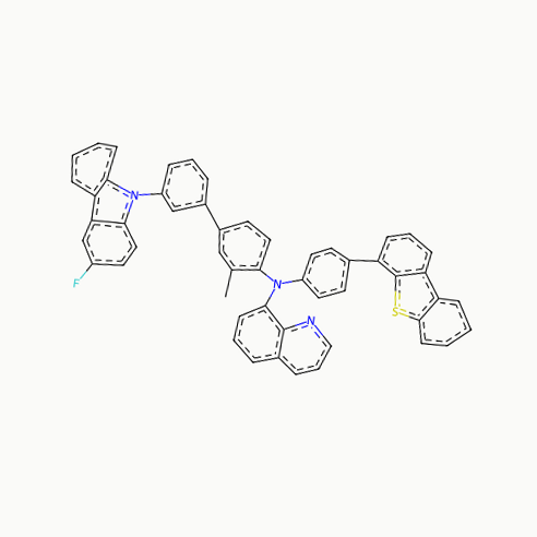 Cc1cc(-c2cccc(-n3c4ccccc4c4cc(F)ccc43)c2)ccc1N(c1ccc(-c2cccc3c2sc2ccccc23)cc1)c1cccc2cccnc12